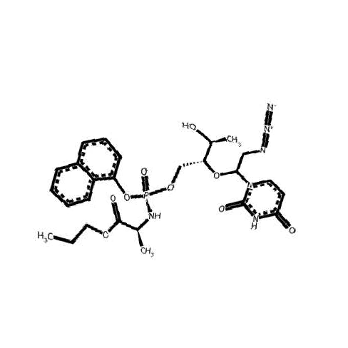 CCCOC(=O)[C@H](C)N[P@@](=O)(OC[C@@H](OC(CN=[N+]=[N-])n1ccc(=O)[nH]c1=O)[C@H](C)O)Oc1cccc2ccccc12